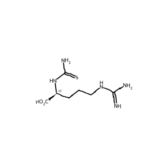 N=C(N)NCCC[C@H](NC(N)=S)C(=O)O